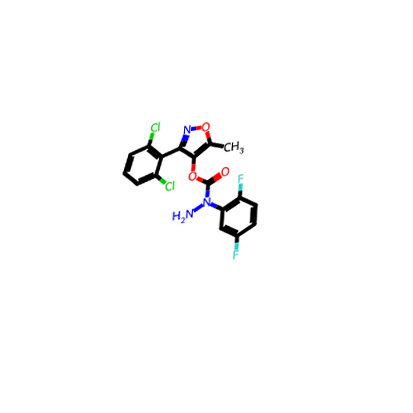 Cc1onc(-c2c(Cl)cccc2Cl)c1OC(=O)N(N)c1cc(F)ccc1F